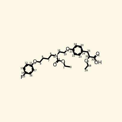 CCOC(=O)N(CCCCOc1ccc(F)cc1)CCOc1ccc(CC(OCC)C(=O)O)cc1